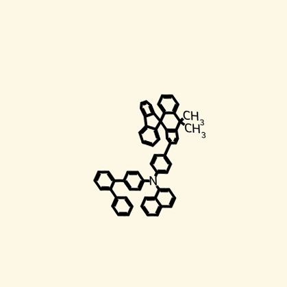 CC1(C)c2ccccc2C2(c3ccccc3-c3ccccc32)c2cc(-c3ccc(N(c4ccc(-c5ccccc5-c5ccccc5)cc4)c4cccc5ccccc45)cc3)ccc21